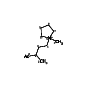 CC(=O)C(C)CC[N+]1(C)CCCC1